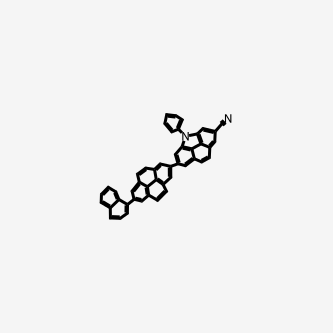 N#Cc1cc2ccc3cc(-c4cc5ccc6cc(-c7cccc8ccccc78)cc7ccc(c4)c5c67)cc4c3c2c(c1)n4-c1ccccc1